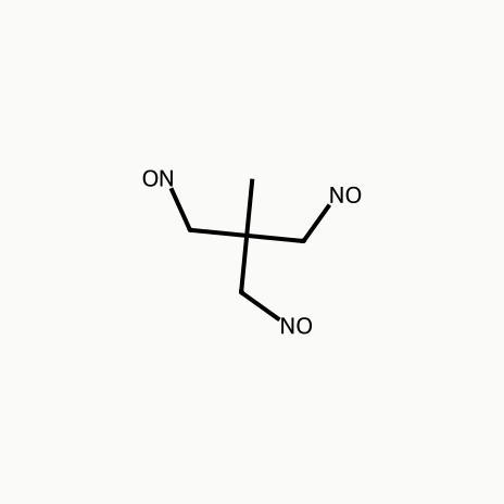 CC(CN=O)(CN=O)CN=O